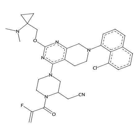 C=C(F)C(=O)N1CCN(c2nc(OCC3(N(C)C)CC3)nc3c2CCN(c2cccc4cccc(Cl)c24)C3)CC1CC#N